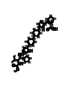 COC(=O)N[C@@H](C(C)C)C(O)N1CCC[C@H]1c1ncc(-c2ccc(-c3ccc(-c4cnc(C5C6CCC(C6)[C@@H]5C(=O)O)[nH]4)cc3)cc2)[nH]1